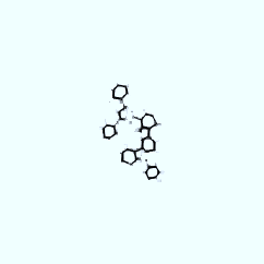 c1ccc(-c2cc(-c3ccccc3)nc(-c3cccc4c3oc3c4ccc4c3c3ccccc3n4-c3ccccc3)n2)cc1